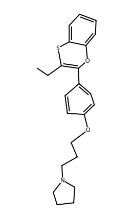 CCC1=C(c2ccc(OCCCN3CCCC3)cc2)Oc2ccccc2S1